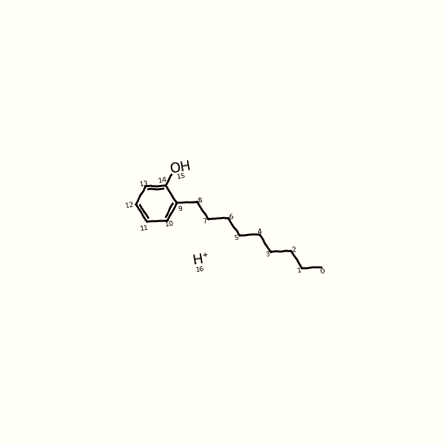 CCCCCCCCCc1ccccc1O.[H+]